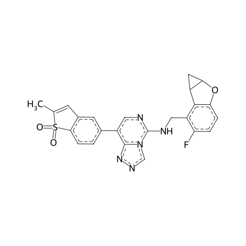 CC1=Cc2cc(-c3cnc(NCc4c(F)ccc5c4C4CC4O5)n4cnnc34)ccc2S1(=O)=O